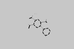 O=C(O)c1cc(C(=O)O)c(-c2ccccc2)cc1C(=O)O